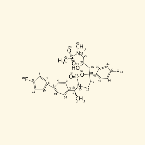 C[C@@H](c1ccc(-c2ccc(F)cc2)cc1)N1CCC(CC(O)CN(C)S(C)(=O)=O)(c2ccc(F)cc2)OC1=O